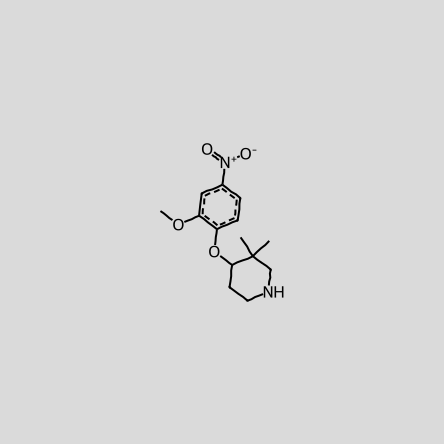 COc1cc([N+](=O)[O-])ccc1OC1CCNCC1(C)C